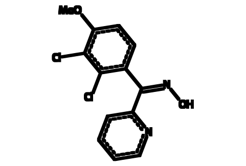 COc1ccc(C(=NO)c2ccccn2)c(Cl)c1Cl